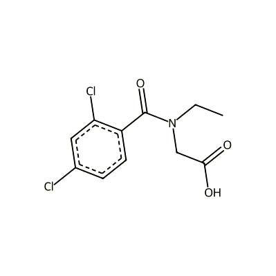 CCN(CC(=O)O)C(=O)c1ccc(Cl)cc1Cl